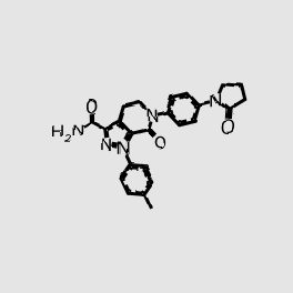 Cc1ccc(-n2nc(C(N)=O)c3c2C(=O)N(c2ccc(N4CCCC4=O)cc2)CC3)cc1